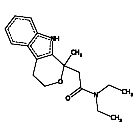 CCN(CC)C(=O)CC1(C)OCCc2c1[nH]c1ccccc21